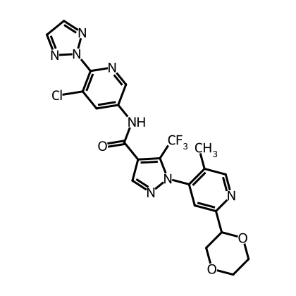 Cc1cnc(C2COCCO2)cc1-n1ncc(C(=O)Nc2cnc(-n3nccn3)c(Cl)c2)c1C(F)(F)F